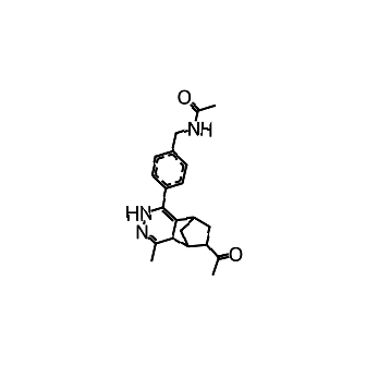 CC(=O)NCc1ccc(C2=C3C4CC(C(C)=O)C(C4)C3C(C)=NN2)cc1